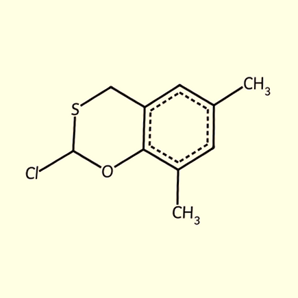 Cc1cc(C)c2c(c1)CSC(Cl)O2